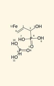 C=CC(O)P(=O)(O)O.O=[PH](O)O.[Fe]